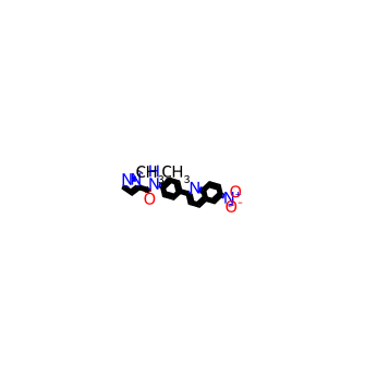 Cc1cc(-c2ccc3cc([N+](=O)[O-])ccc3n2)ccc1NC(=O)c1ccnn1C